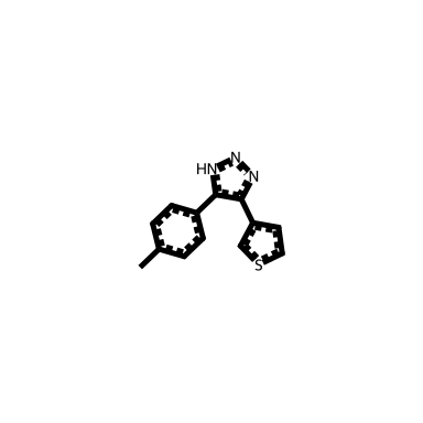 Cc1ccc(-c2[nH]nnc2-c2ccsc2)cc1